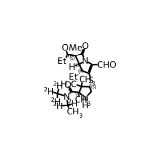 [2H]C([2H])([2H])N(C(=O)[C@@]1(C)NC[C@@H](SC2=C(C=O)N3C(=O)[C@H]([C@@H](CC)OC)[C@H]3[C@H]2CC)C1(C)C)C([2H])([2H])C